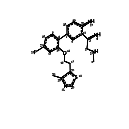 CNCC(=N)n1cc(-c2ccc(F)cc2OCCc2scnc2C)ccc1=N